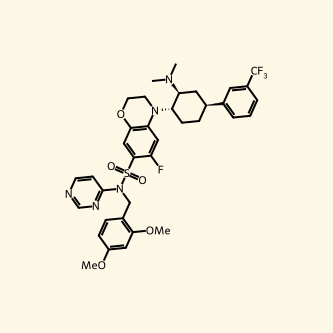 COc1ccc(CN(c2ccncn2)S(=O)(=O)c2cc3c(cc2F)N([C@H]2CC[C@H](c4cccc(C(F)(F)F)c4)C[C@@H]2N(C)C)CCO3)c(OC)c1